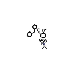 COc1ccc(S(=O)(=O)/N=C/N(C)C)cc1COc1ccccc1Cc1ccccc1